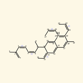 C=C(C)/C=C\C=C/C(C)C1C=C2C(=C/C1=C/C)C=C(C)C(/C=C\C)=[PH]2/C=C\C